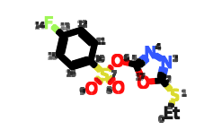 CCSc1nnc(OS(=O)(=O)c2ccc(F)cc2)o1